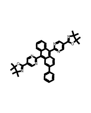 CC1(C)N=C(c2cnc(-c3c4ccccc4c(-c4ncc(C5=NC(C)(C)C(C)(C)O5)cn4)c4cc(-c5ccccc5)ccc34)nc2)OC1(C)C